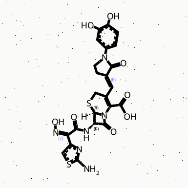 Nc1nc(/C(=N/O)C(=O)N[C@@H]2C(=O)N3C(C(=O)O)=C(/C=C4\CCN(c5ccc(O)c(O)c5)C4=O)CS[C@H]23)cs1